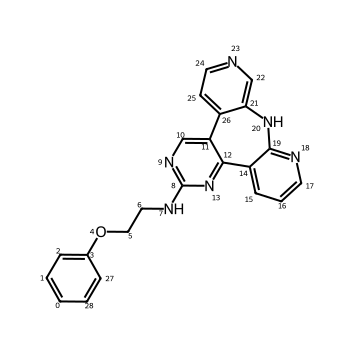 c1ccc(OCCNc2ncc3c(n2)-c2cccnc2Nc2cnccc2-3)cc1